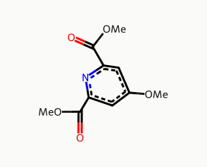 COC(=O)c1cc(OC)cc(C(=O)OC)n1